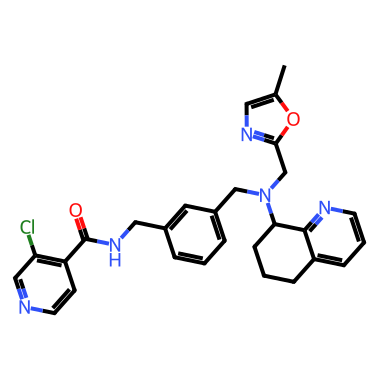 Cc1cnc(CN(Cc2cccc(CNC(=O)c3ccncc3Cl)c2)C2CCCc3cccnc32)o1